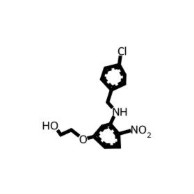 O=[N+]([O-])c1ccc(OCCO)cc1NCc1ccc(Cl)cc1